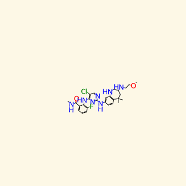 CNC(=O)c1cccc(F)c1Nc1nc(Nc2ccc3c(c2)NCC(NCCOC)CC3(C)C)ncc1Cl